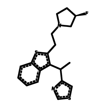 CC(c1cscn1)c1c(CCN2CC[C@@H](F)C2)sc2ccccc12